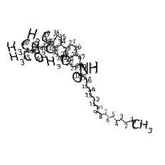 CCCCCCCC/C=C\CCCCCCCC(=O)N[C@H]1CC[C@@]2(C)C(CCC3C2CC[C@@]2(C)C3CCC2[C@H](C)CCC(=O)C(C)C)C1